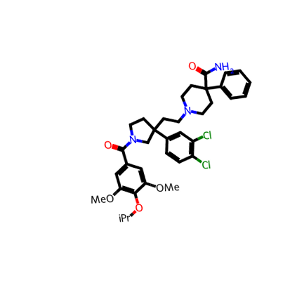 COc1cc(C(=O)N2CCC(CCN3CCC(C(N)=O)(c4ccccc4)CC3)(c3ccc(Cl)c(Cl)c3)C2)cc(OC)c1OC(C)C